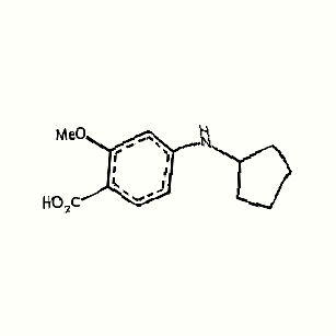 COc1cc(NC2CCCC2)ccc1C(=O)O